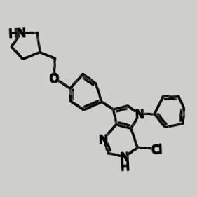 ClC1NC=Nc2c(-c3ccc(OCC4CCNC4)cc3)cn(-c3ccccc3)c21